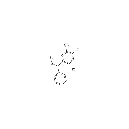 Cl.[CH2]COC(c1ccccc1)c1ccc(Cl)c(C(F)(F)F)c1